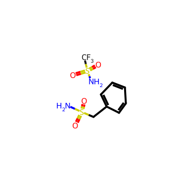 NS(=O)(=O)C(F)(F)F.NS(=O)(=O)Cc1ccccc1